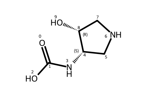 O=C(O)N[C@H]1CNC[C@H]1O